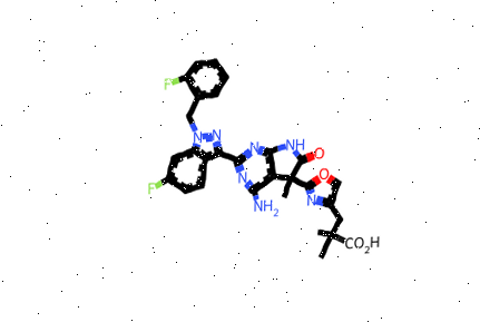 CC(C)(Cc1coc(C2(C)C(=O)Nc3nc(-c4nn(Cc5ccccc5F)c5cc(F)ccc45)nc(N)c32)n1)C(=O)O